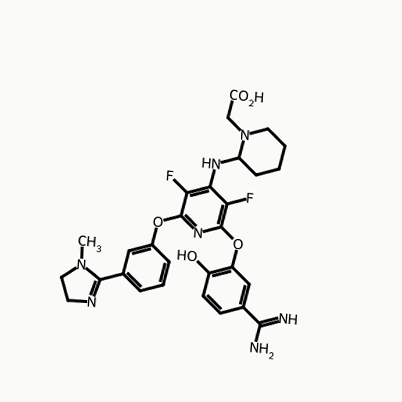 CN1CCN=C1c1cccc(Oc2nc(Oc3cc(C(=N)N)ccc3O)c(F)c(NC3CCCCN3CC(=O)O)c2F)c1